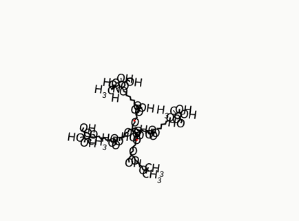 CC(=O)N[C@H]1C(O)[C@@H](O)C(CO)O[C@H]1OCCCCCCOP(=O)(O)OCCCOCC(COCCCOP(=O)(O)OCCCCCCO[C@@H]1OC(CO)[C@H](O)C(O)[C@@H]1C)(COCCCOP(=O)(O)OCCCCCCO[C@@H]1OC(CO)[C@H](O)C(O)[C@@H]1C)COP(=O)(O)OCCCOCC(CO)COCCCOC(C)C